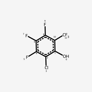 Oc1c(Cl)c(F)c(F)c(F)c1C(F)(F)F